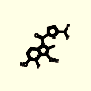 CC(=O)Oc1c(C)n(C(=O)c2ccc(C(F)F)s2)c2ccc(O)c(F)c12